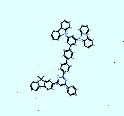 CC1(C)c2ccccc2-c2ccc(-c3cc(-c4ccccc4)nc(-c4ccc(-c5ccc(-c6cc(-n7c8ccccc8c8ccccc87)cc(-n7c8ccccc8c8ccccc87)c6)cc5)cc4)n3)cc21